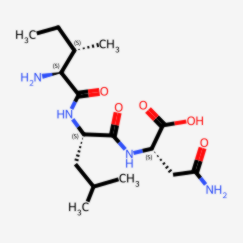 CC[C@H](C)[C@H](N)C(=O)N[C@@H](CC(C)C)C(=O)N[C@@H](CC(N)=O)C(=O)O